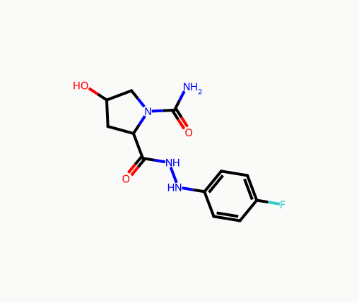 NC(=O)N1CC(O)CC1C(=O)NNc1ccc(F)cc1